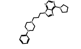 c1ccc(N2CCN(CCCn3cnc4c(N5CCCC5)ncnc43)CC2)cc1